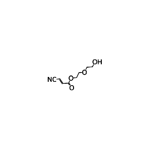 N#CC=CC(=O)OCCOCCO